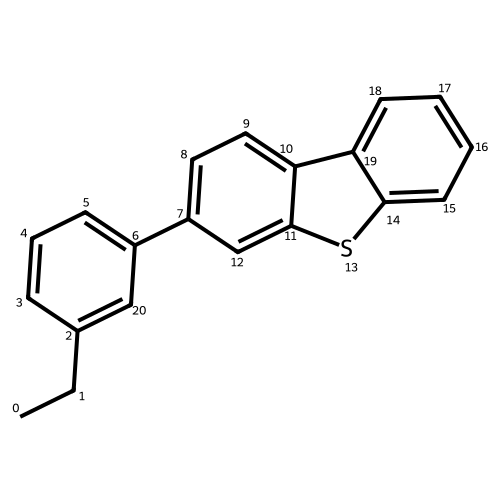 CCc1cccc(-c2ccc3c(c2)sc2ccccc23)c1